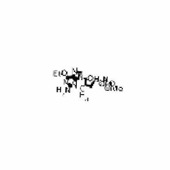 CCOc1nc(N)nc2c1ncn2[C@@H]1O[C@H](COP(N)(=O)OC)CC1C